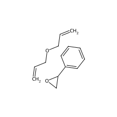 C=CCOCC=C.c1ccc(C2CO2)cc1